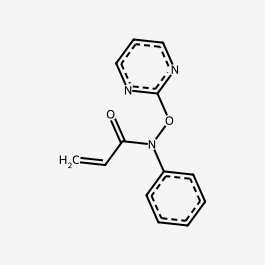 C=CC(=O)N(Oc1ncccn1)c1ccccc1